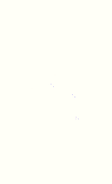 O=C1Cc2c(Cl)ncnc2N1C1CCC1